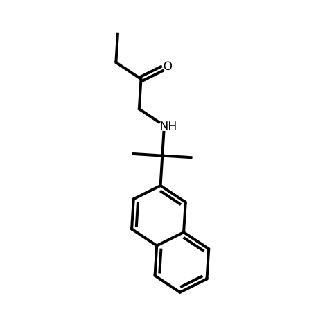 CCC(=O)CNC(C)(C)c1ccc2ccccc2c1